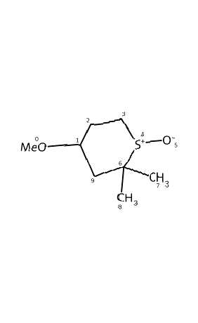 COC1CC[S+]([O-])C(C)(C)C1